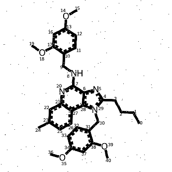 CCCCc1nc2c(NCc3ccc(OC)cc3OC)nc3cc(C)ccc3c2n1Cc1ccc(OC)cc1OC